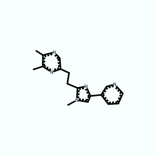 Cc1ncc(CCc2nc(-c3cccnc3)cn2C)nc1C